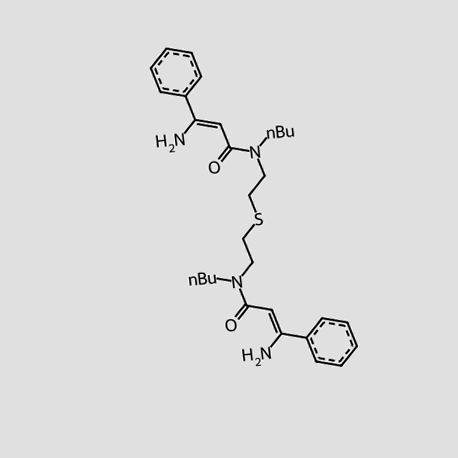 CCCCN(CCSCCN(CCCC)C(=O)C=C(N)c1ccccc1)C(=O)C=C(N)c1ccccc1